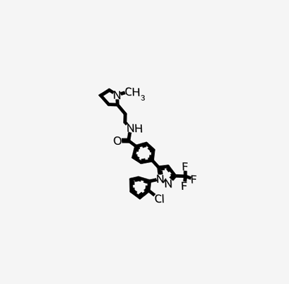 CN1CCCC1CCNC(=O)c1ccc(-c2cc(C(F)(F)F)nn2-c2ccccc2Cl)cc1